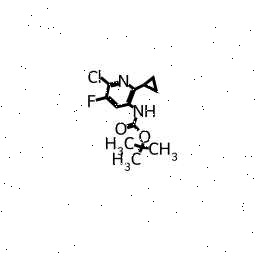 CC(C)(C)OC(=O)Nc1cc(F)c(Cl)nc1C1CC1